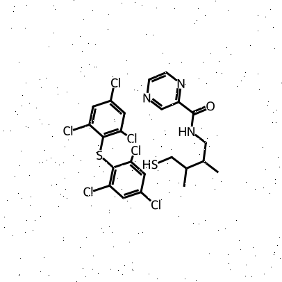 CC(CS)C(C)CNC(=O)c1cnccn1.Clc1cc(Cl)c(Sc2c(Cl)cc(Cl)cc2Cl)c(Cl)c1